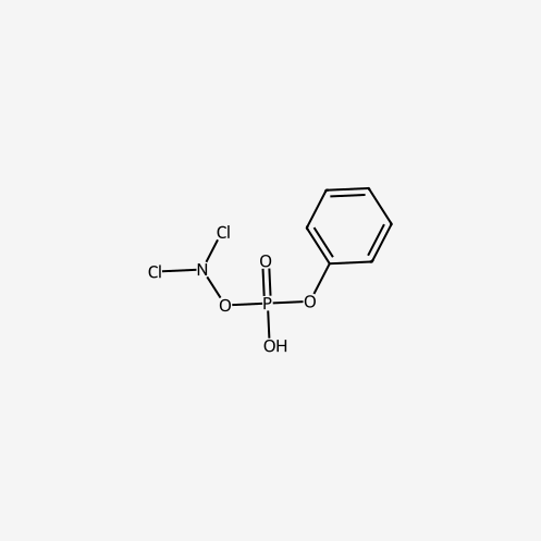 O=P(O)(Oc1ccccc1)ON(Cl)Cl